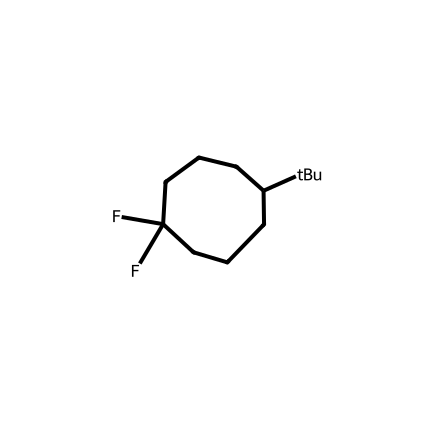 CC(C)(C)C1CCCC(F)(F)CCC1